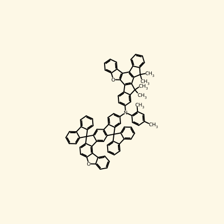 Cc1ccc(N(c2ccc3c(c2)C(C)(C)c2c4c(c5c(oc6ccccc65)c2-3)-c2ccccc2C4(C)C)c2ccc3c(c2)C2(c4ccccc4-c4ccccc42)c2cc4c(cc2-3)C2(c3ccccc3-c3ccccc32)c2ccc3oc5ccccc5c3c2-4)c(C)c1